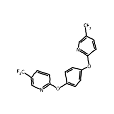 FC(F)(F)c1ccc(Oc2ccc(Oc3ccc(C(F)(F)F)cn3)cc2)nc1